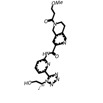 COCCC(=O)N1CCc2cnc(C(=O)Nc3cccc(-c4nnnn4[C@H](C)CO)n3)cc2C1